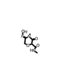 CNC(=O)C1OCC(=NO)N(C)C1=O